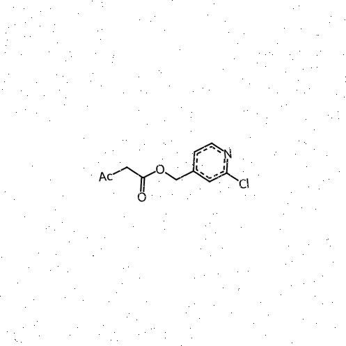 CC(=O)CC(=O)OCc1ccnc(Cl)c1